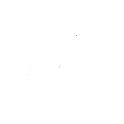 Cc1c2cccccc-2c(C(C)C)c1C.Cc1c2cccccc-2c(C(C)C)c1C.O=S(=O)([O-])[O-].[Na+].[Na+]